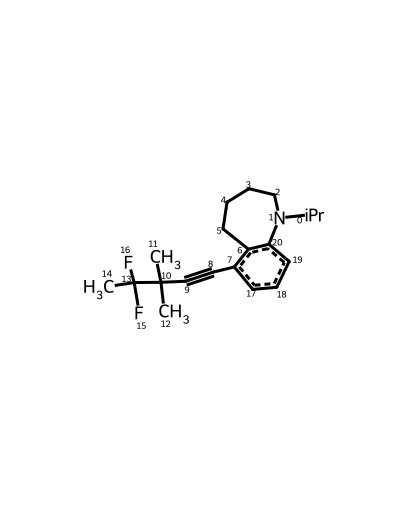 CC(C)N1CCCCc2c(C#CC(C)(C)C(C)(F)F)cccc21